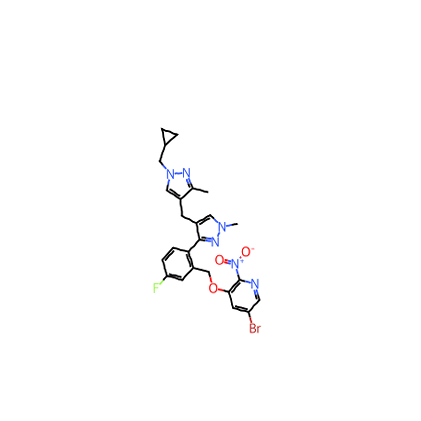 Cc1nn(CC2CC2)cc1Cc1cn(C)nc1-c1ccc(F)cc1COc1cc(Br)cnc1[N+](=O)[O-]